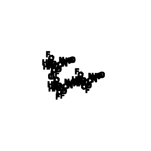 O=C(Nc1cccc(Cl)c1)Nc1cc(F)c(F)c(Oc2ccc3ncc(N4CCOCC4)nc3c2)c1F.O=C(Nc1cccc(F)c1)Nc1cc(F)c(F)c(Oc2ccc3ncc(N4CCOCC4)nc3c2)c1Cl.O=C(Nc1cccc(F)c1)Nc1ccc(F)c(Oc2ccc3ncc(N4CCOCC4)nc3c2)c1Cl